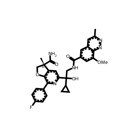 COc1cc(C(=O)NCC(O)(c2cc3c(c(-c4ccc(F)cc4)n2)OC[C@]3(C)C(N)=O)C2CC2)cc2cc(C)nnc12